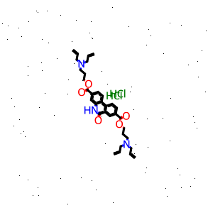 C=CCN(CC=C)CCCOC(=O)c1ccc2c(c1)[nH]c(=O)c1cc(C(=O)OCCCN(CC=C)CC=C)ccc12.Cl.Cl